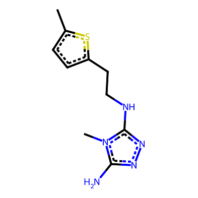 Cc1ccc(CCNc2nnc(N)n2C)s1